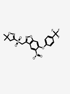 CC1(C)CC(S(=O)(=O)Cc2noc3cc(Oc4ccc(C(F)(F)F)cc4)c([N+](=O)[O-])cc23)=NO1